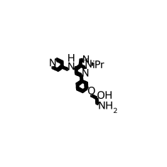 CC(C)n1ncc2c(NCc3ccncc3)cc(-c3cccc(OCC(O)CN)c3)nc21